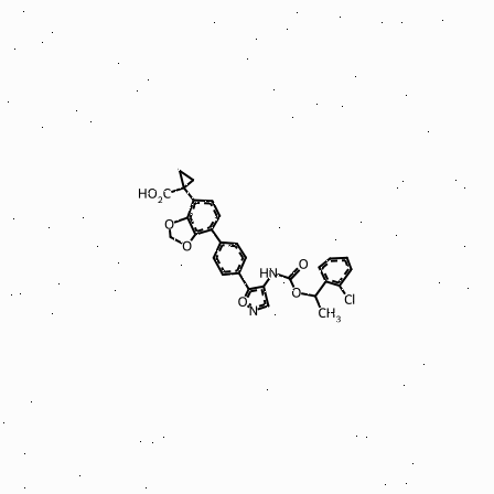 CC(OC(=O)Nc1cnoc1-c1ccc(-c2ccc(C3(C(=O)O)CC3)c3c2OCO3)cc1)c1ccccc1Cl